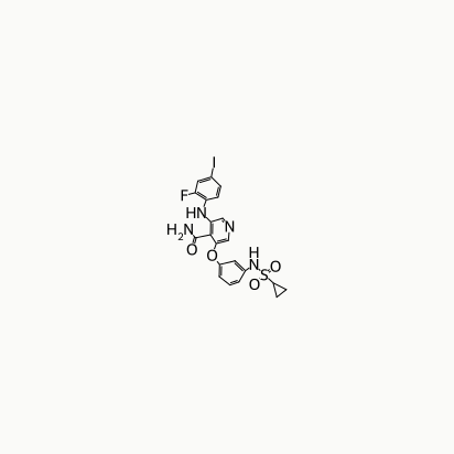 NC(=O)c1c(Nc2ccc(I)cc2F)cncc1Oc1cccc(NS(=O)(=O)C2CC2)c1